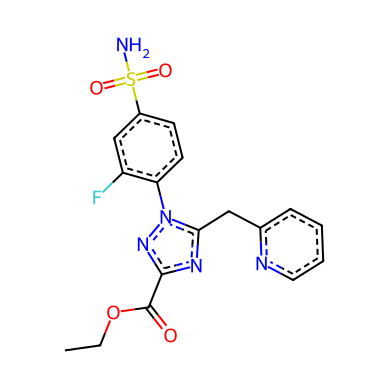 CCOC(=O)c1nc(Cc2ccccn2)n(-c2ccc(S(N)(=O)=O)cc2F)n1